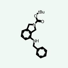 CC(C)(C)OC(=O)N1Cc2cccc(NCc3ccccc3)c2C1